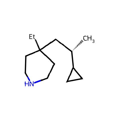 CCC1(C[C@H](C)C2CC2)CCNCC1